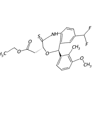 CCOC(=O)C[C@H]1O[C@H](c2cccc(OC)c2C)c2cc(C(F)F)ccc2NC1=S